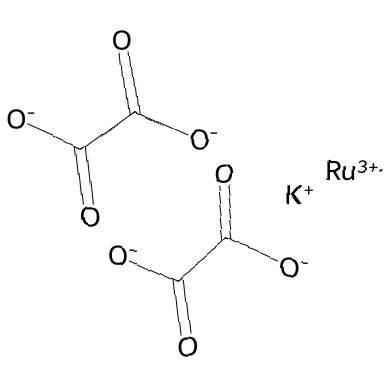 O=C([O-])C(=O)[O-].O=C([O-])C(=O)[O-].[K+].[Ru+3]